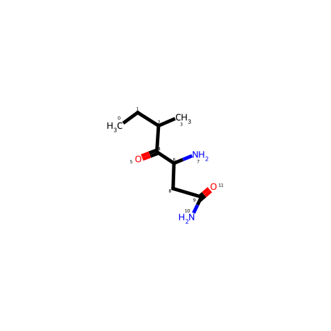 CCC(C)C(=O)C(N)CC(N)=O